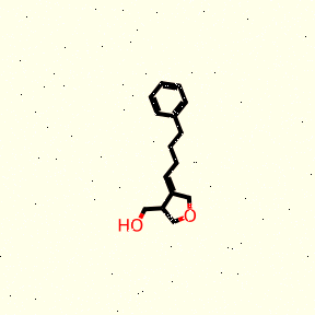 OCC1COCC1=CCCCc1ccccc1